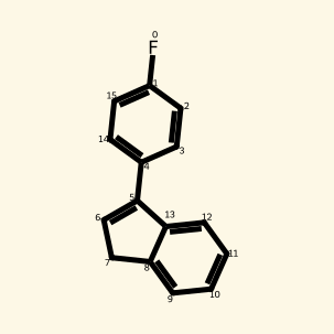 Fc1ccc(C2=CCc3ccccc32)cc1